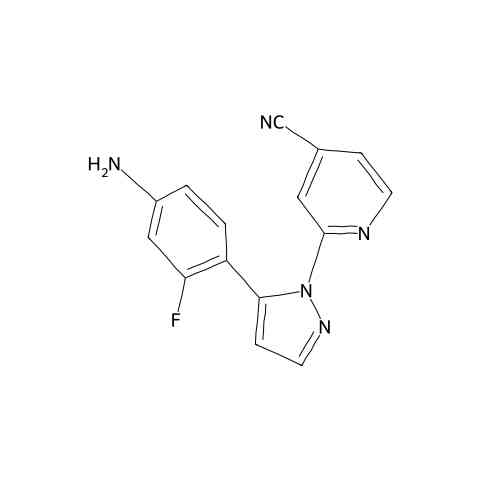 N#Cc1ccnc(-n2nccc2-c2ccc(N)cc2F)c1